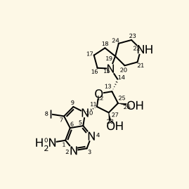 Nc1ncnc2c1c(I)cn2[C@@H]1O[C@H](CN2CCCC23CCNCC3)[C@@H](O)[C@H]1O